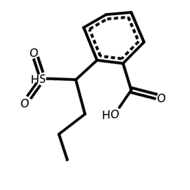 CCCC(c1ccccc1C(=O)O)[SH](=O)=O